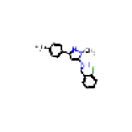 Cn1nc(-c2ccc(C(F)(F)F)cc2)cc1NCc1ccccc1F